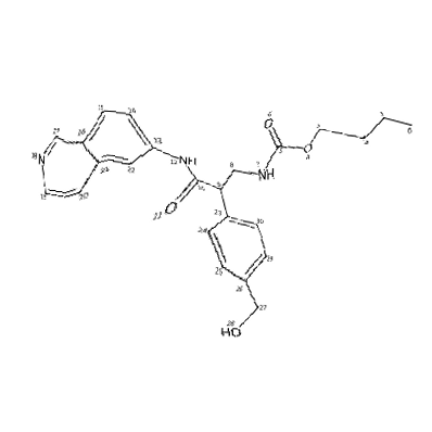 CCCCOC(=O)NCC(C(=O)Nc1ccc2cnccc2c1)c1ccc(CO)cc1